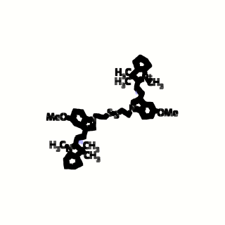 COc1ccc2c(c1)c(/C=C/C1=[N+](C)c3ccccc3C1(C)C)cn2CCSSCCn1cc(/C=C/C2=[N+](C)c3ccccc3C2(C)C)c2cc(OC)ccc21